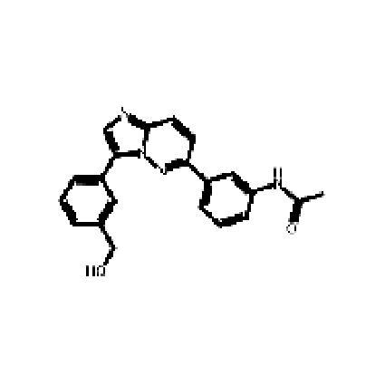 CC(=O)Nc1cccc(-c2ccc3ncc(-c4cccc(CO)c4)n3n2)c1